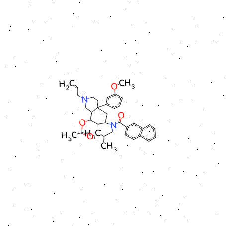 C=CCN1CCC2(c3cccc(OC)c3)CC(N(CC(C)C)C(=O)c3ccc4ccccc4c3)CC(OC(C)=O)C2C1